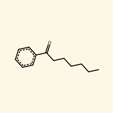 CCCCCCC(=O)c1cc[c]cc1